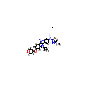 CC(C)(C)c1csc(Nc2ccc(-c3c(N)c4ccc(OC5CCOCC5)cc4n3C3CCC3)cc2)n1